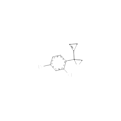 Clc1cc(Br)ccc1C1(C2=CC2)CO1